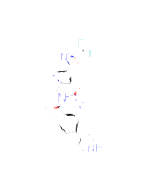 Cn1c(=O)n(Cc2ccc(-c3nnc(C(F)F)o3)cn2)c(=O)c2ccc(C3=CCNCC3)cc21